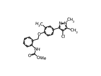 COC(=O)Nc1ccccc1COc1ccc(-c2nn(C)c(C)c2Cl)cc1C